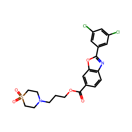 O=C(OCCCN1CCS(=O)(=O)CC1)c1ccc2nc(-c3cc(Cl)cc(Cl)c3)oc2c1